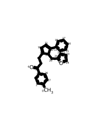 Cc1ccc(C(=O)CCC2=CC=C(c3ccccc3)C2Cc2ccco2)cc1